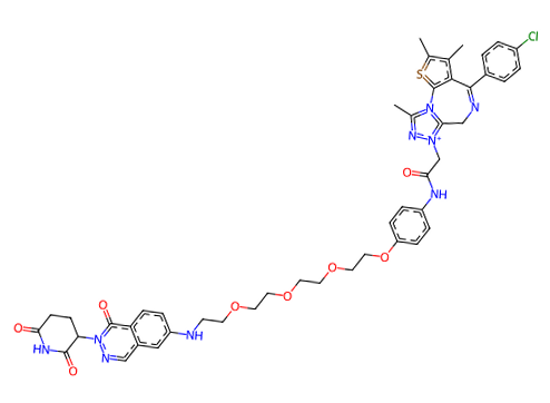 Cc1sc2c(c1C)C(c1ccc(Cl)cc1)=NCc1n-2c(C)n[n+]1CC(=O)Nc1ccc(OCCOCCOCCOCCNc2ccc3c(=O)n(C4CCC(=O)NC4=O)ncc3c2)cc1